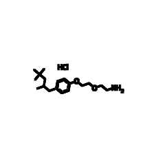 CC(Cc1ccc(OCCOCCN)cc1)CC(C)(C)C.Cl